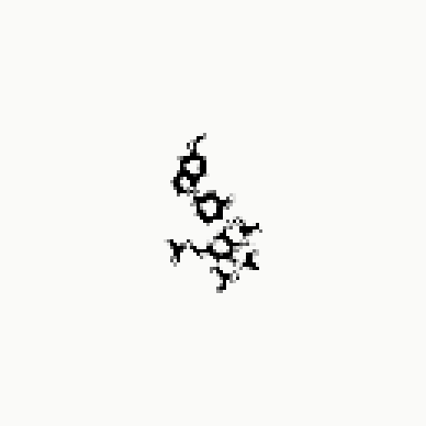 COc1ccc2c(ccn2-c2ccc(O[C@H]3O[C@H](COC(C)=O)[C@@H](OC(C)=O)[C@H](OC(C)=O)[C@@H]3OC(C)=O)c(Cl)c2)c1